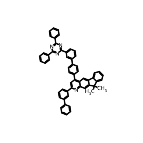 CC1(C)c2ccccc2-c2cc3c(-c4ccc(-c5cccc(-c6nc(-c7ccccc7)nc(-c7ccccc7)n6)c5)cc4)cc(-c4cccc(-c5ccccc5)c4)nc3cc21